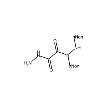 CCCCCCCCCNN(CCCCCCCCC)C(=O)C(=O)NN